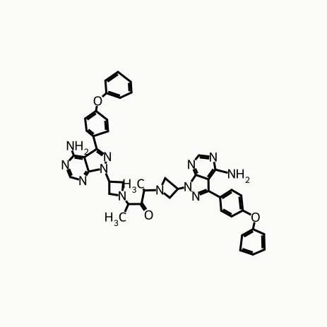 CC(C(=O)C(C)N1CC(n2nc(-c3ccc(Oc4ccccc4)cc3)c3c(N)ncnc32)C1)N1CC(n2nc(-c3ccc(Oc4ccccc4)cc3)c3c(N)ncnc32)C1